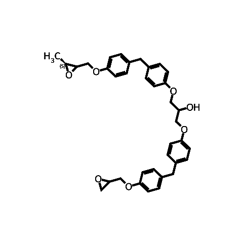 C[C@@H]1OC1COc1ccc(Cc2ccc(OCC(O)COc3ccc(Cc4ccc(OCC5CO5)cc4)cc3)cc2)cc1